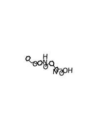 O=C(O)Cc1cncc(-c2cccc(C(=O)Nc3ccc(OCCc4ccccc4)cc3)c2)c1